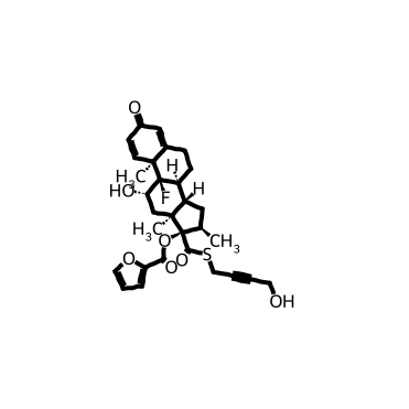 C[C@@H]1C[C@H]2[C@@H]3CCC4=CC(=O)C=C[C@]4(C)[C@@]3(F)[C@@H](O)C[C@]2(C)[C@@]1(OC(=O)c1ccco1)C(=O)SCC#CCO